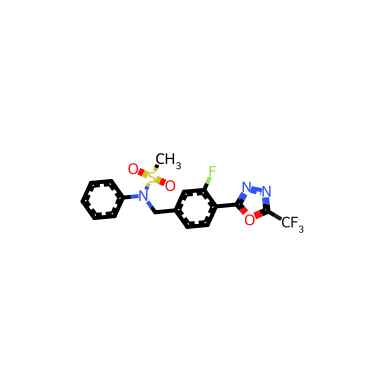 CS(=O)(=O)N(Cc1ccc(-c2nnc(C(F)(F)F)o2)c(F)c1)c1ccccc1